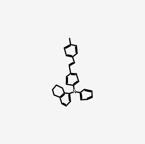 Cc1ccc(/C=C/c2ccc(N(c3ccccc3)c3cccc4c3CCCC4)cc2)cc1